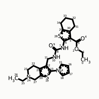 CCOC(=O)c1c(NC(=O)NCc2c(-n3cccc3)sc3c2CCN(CC)C3)sc2c1CCCC2